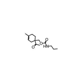 CCCNC(=O)OCC1(C(C)=O)CC=C(C)CC1